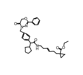 CCOC(=O)C1(CCC=CCCNC(=O)C(c2ccc(CN3N=C(c4ccccc4)OCC3=O)cc2)C2CCCC2)CC1